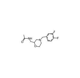 CC(=O)NCC1CN(Cc2ccc(F)c(F)c2)CCO1